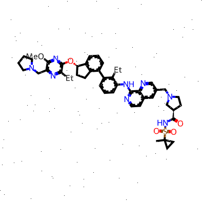 CCc1nc(CN2CCCC2)c(OC)nc1O[C@@H]1CCc2c(-c3cccc(Nc4nccc5cc(CN6CC[C@@H](C(=O)NS(=O)(=O)C7(C)CC7)C6)cnc45)c3CC)cccc21